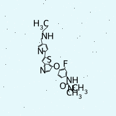 CCCNCc1ccc(-c2cc3nccc(Oc4ccc(NC(=O)N(C)C)cc4F)c3s2)nc1